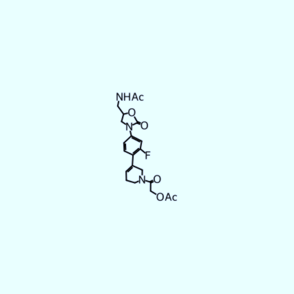 CC(=O)NCC1CN(c2ccc(C3=CCCN(C(=O)COC(C)=O)C3)c(F)c2)C(=O)O1